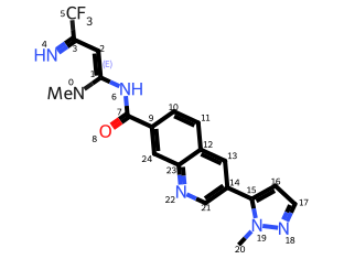 CN/C(=C\C(=N)C(F)(F)F)NC(=O)c1ccc2cc(-c3ccnn3C)cnc2c1